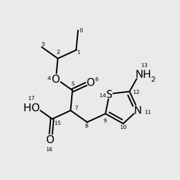 CCC(C)OC(=O)C(Cc1cnc(N)s1)C(=O)O